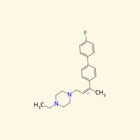 CCN1CCN(C/C=C(/C)c2ccc(-c3ccc(F)cc3)cc2)CC1